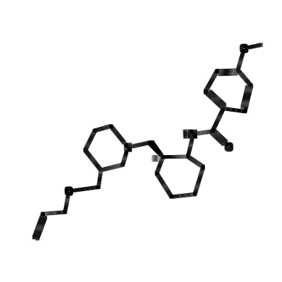 C=CCOCC1CCCN(C[C@@H]2CCCCC2NC(=O)c2ccc(OC)cc2)C1